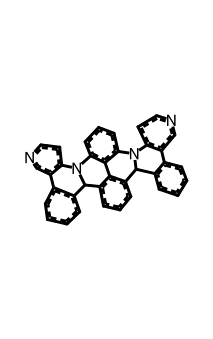 c1ccc2c(c1)-c1cnccc1N1c3cccc4c3-c3c(cccc3C3c5ccccc5-c5cnccc5N43)C21